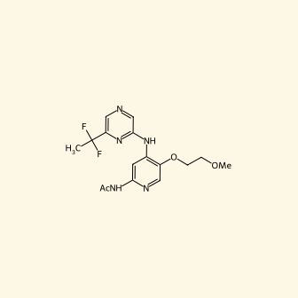 COCCOc1cnc(NC(C)=O)cc1Nc1cncc(C(C)(F)F)n1